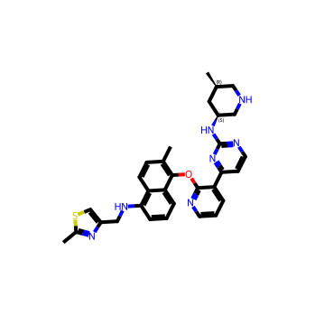 Cc1nc(CNc2cccc3c(Oc4ncccc4-c4ccnc(N[C@@H]5CNC[C@H](C)C5)n4)c(C)ccc23)cs1